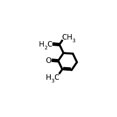 C=C(C)C1CCC=C(C)C1=O